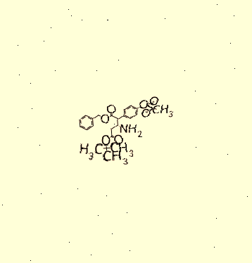 CC(C)(C)OC(=O)CC(N)C(C(=O)OCc1ccccc1)c1ccc(OS(C)(=O)=O)cc1